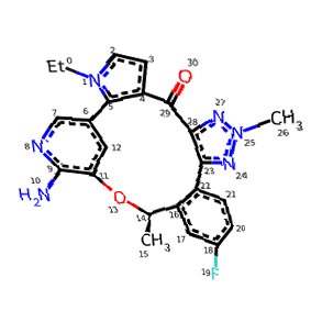 CCn1ccc2c1-c1cnc(N)c(c1)O[C@H](C)c1cc(F)ccc1-c1nn(C)nc1C2=O